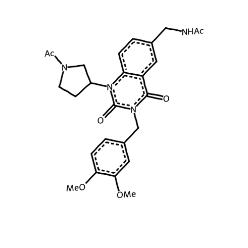 COc1ccc(Cn2c(=O)c3cc(CNC(C)=O)ccc3n(C3CCN(C(C)=O)C3)c2=O)cc1OC